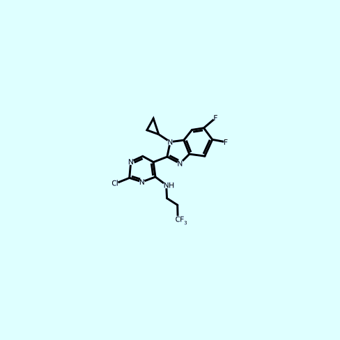 Fc1cc2nc(-c3cnc(Cl)nc3NCCC(F)(F)F)n(C3CC3)c2cc1F